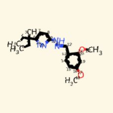 CCC(C)(CC)c1ccc(NN=Cc2ccc(OC)cc2OC)nn1